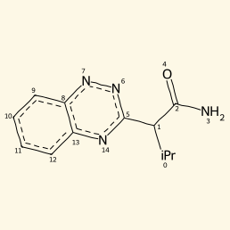 CC(C)C(C(N)=O)c1nnc2ccccc2n1